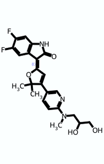 CN(CC(O)CO)c1ccc(C2=C/C(=C3\C(=O)Nc4cc(F)c(F)cc43)OC2(C)C)cn1